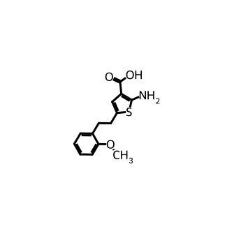 COc1ccccc1CCc1cc(C(=O)O)c(N)s1